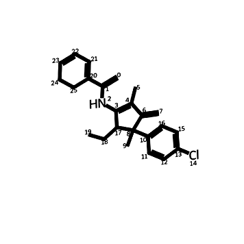 C=C(NC1=C(C)C(=C)C(C)(c2ccc(Cl)cc2)C1CC)C1=CC=CCC1